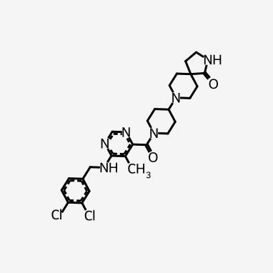 Cc1c(NCc2ccc(Cl)c(Cl)c2)ncnc1C(=O)N1CCC(N2CCC3(CCNC3=O)CC2)CC1